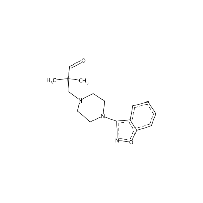 CC(C)(C=O)CN1CCN(c2noc3ccccc23)CC1